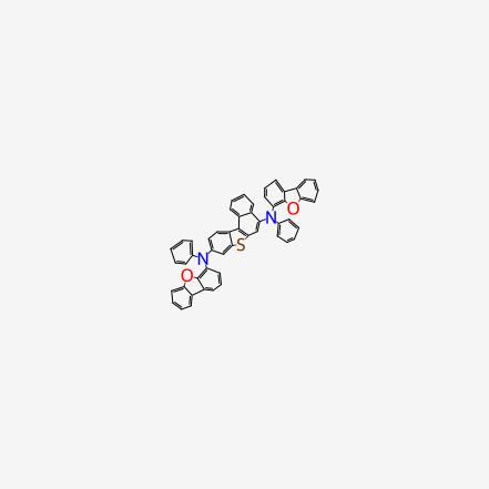 c1ccc(N(c2ccc3c(c2)sc2cc(N(c4ccccc4)c4cccc5c4oc4ccccc45)c4ccccc4c23)c2cccc3c2oc2ccccc23)cc1